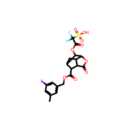 Cc1cc(I)cc(COC(=O)C2C3CC4C(OC(=O)C42)C3OC(=O)C(F)(F)S(=O)(=O)O)c1